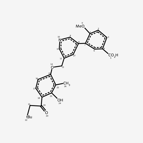 COc1ccc(C(=O)O)cc1-c1cncc(COc2ccc(C(=O)CC(C)(C)C)c(O)c2C)c1